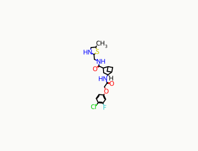 CC1CNC(CNC(=O)C2C[C@H](NC(=O)COc3ccc(Cl)c(F)c3)C3CC2C3)S1